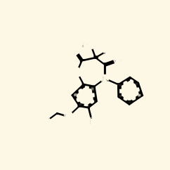 CCCCC1(CC)C(=O)Sc2cc(OCC(=O)O)c(Br)cc2N(c2ccccc2)C1=O